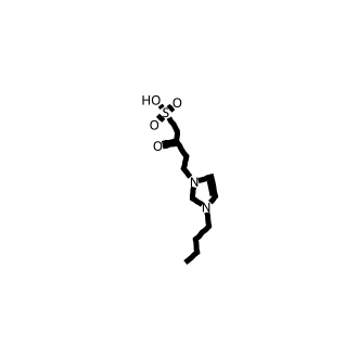 CCCCN1C=CN(CCC(=O)CS(=O)(=O)O)C1